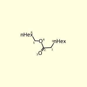 [CH2]CCCCCCC(=O)OCCCCCCC